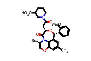 COc1ccccc1[C@H]1O[C@H](CC(=O)N2CCCC(C(=O)O)C2)C(=O)N2c3c(cc(C)cc31)OC[C@H]2C(C)(C)C